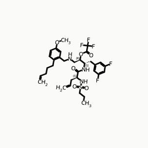 C=CCCCc1ccc(OC)cc1CNC[C@@H](OC(=O)C(F)(F)F)[C@H](Cc1cc(F)cc(F)c1)NC(=O)[C@H](CC=C)NS(=O)(=O)CCC